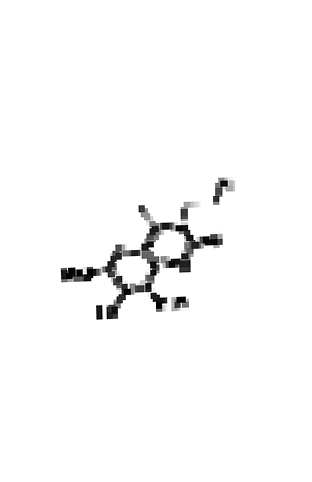 COc1cc2c(C)c(CCC(C)=O)c(=O)oc2c(C=O)c1O